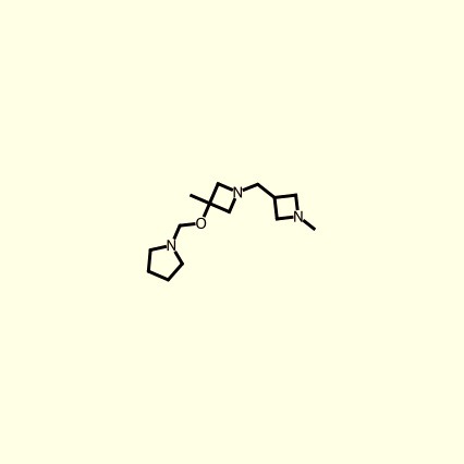 CN1CC(CN2CC(C)(OCN3CCCC3)C2)C1